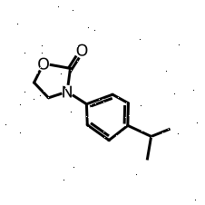 CC(C)c1ccc(N2CCOC2=O)cc1